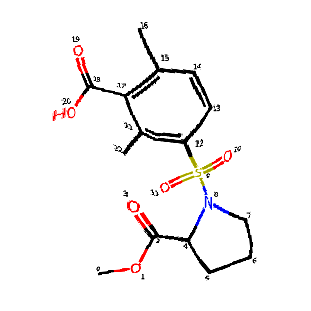 COC(=O)C1CCCN1S(=O)(=O)c1ccc(C)c(C(=O)O)c1C